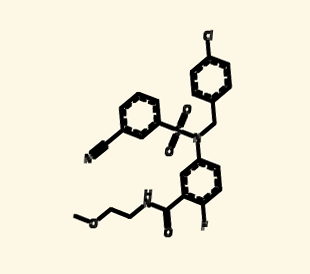 COCCNC(=O)c1cc(N(Cc2ccc(Cl)cc2)S(=O)(=O)c2cccc(C#N)c2)ccc1F